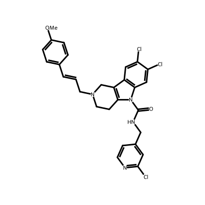 COc1ccc(C=CCN2CCc3c(c4cc(Cl)c(Cl)cc4n3C(=O)NCc3ccnc(Cl)c3)C2)cc1